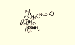 C=C(N)C(C(=O)Nc1cn(C2CCN(CCOCc3ccccc3)CC2)nc1-c1cc(Cl)ccc1OC(F)F)=C(NC)NC